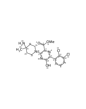 COC(=O)c1nc(-c2cccc(Cl)c2Cl)c(O)nc1N1CCC(C)(N)CC1